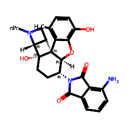 CCCN1CC2[C@@H]1[C@]1(O)CC[C@@H](N3C(=O)c4cccc(N)c4C3=O)[C@@H]3Oc4c(O)ccc(C)c4[C@@]231